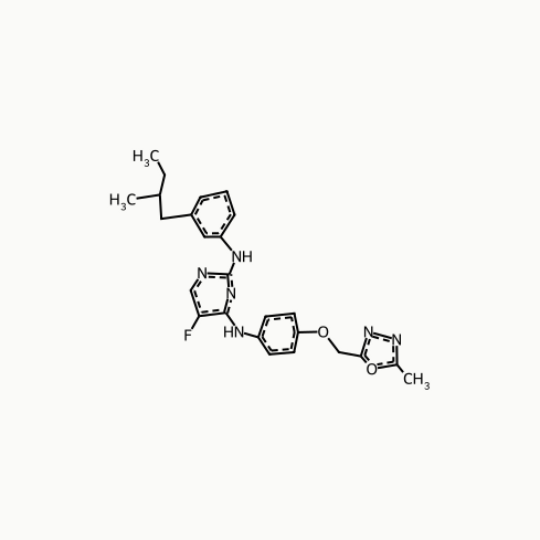 CCC(C)Cc1cccc(Nc2ncc(F)c(Nc3ccc(OCc4nnc(C)o4)cc3)n2)c1